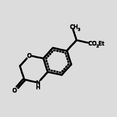 CCOC(=O)C(C)c1ccc2c(c1)OCC(=O)N2